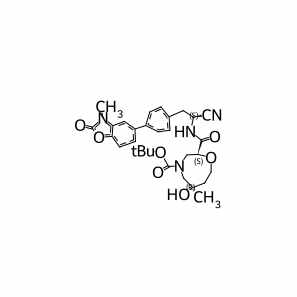 Cn1c(=O)oc2ccc(-c3ccc(C[C@@H](C#N)NC(=O)[C@@H]4CN(C(=O)OC(C)(C)C)C[C@](C)(O)CCO4)cc3)cc21